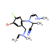 C=CN(C)Cc1cc(Br)c(F)cc1N(/C=C\NC)C(C)C#N